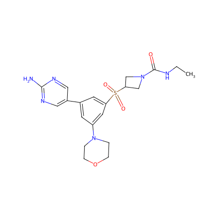 CCNC(=O)N1CC(S(=O)(=O)c2cc(-c3cnc(N)nc3)cc(N3CCOCC3)c2)C1